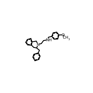 COc1ccc(CNCCN2Cc3ccccc3CC2Cc2ccccc2)cc1